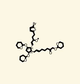 COC(C=C[C@@H]1[C@@H](CC=CCCCC(=O)COC2CCCCO2)[C@@H](OC2CCCCO2)C[C@H]1OC1CCCCO1)CCc1ccc(Br)s1